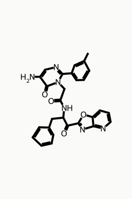 Cc1cccc(-c2ncc(N)c(=O)n2CC(=O)NC(Cc2ccccc2)C(=O)c2nc3ncccc3o2)c1